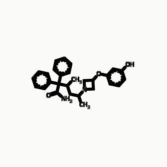 CC(CC(C)C(C(N)=O)(c1ccccc1)c1ccccc1)N1CC(Oc2cccc(O)c2)C1